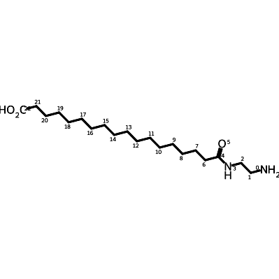 NCCNC(=O)CCCCCCCCCCCCCCCCC(=O)O